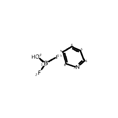 OB(F)F.c1ccncc1